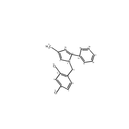 Cc1cn(Cc2ccc(Cl)cc2Cl)c(-c2cccnc2)n1